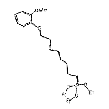 CCO[Si](CCCCCCCCOc1ccccc1OC)(OCC)OCC